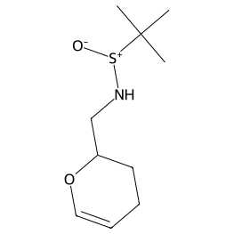 CC(C)(C)[S+]([O-])NCC1CCC=CO1